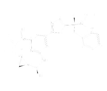 C[C@H](Nc1cc(-c2ncc([C@@](C)(Cc3ccccc3)N(C(=O)O)C(C)(C)C)o2)cc(N(C)S(C)(=O)=O)n1)[C@H]1C[C@@H]1C